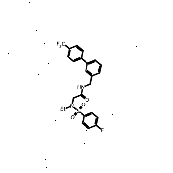 CCN(CC(=O)NCc1cccc(-c2ccc(C(F)(F)F)cc2)c1)S(=O)(=O)c1ccc(F)cc1